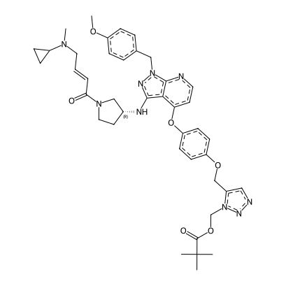 COc1ccc(Cn2nc(N[C@@H]3CCN(C(=O)C=CCN(C)C4CC4)C3)c3c(Oc4ccc(OCc5cnnn5COC(=O)C(C)(C)C)cc4)ccnc32)cc1